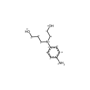 Nc1ccc(N(CCO)CCCO)cc1